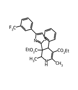 CCOC(=O)C1=C(C)NC(C)C(C(=O)OCC)(c2nc(-c3cccc(C(F)(F)F)c3)cs2)C1c1ccccc1